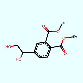 CC(C)OC(=O)c1ccc(C(O)CO)cc1C(=O)OC(C)C